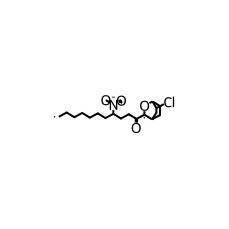 [CH2]CCCCCCC(CCC(=O)[C]1OC2CCC1CC2Cl)[N+](=O)[O-]